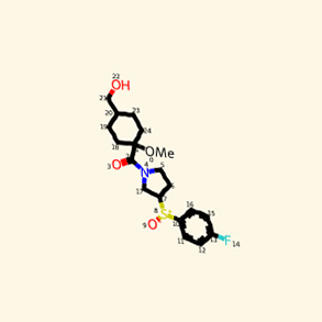 COC1(C(=O)N2CCC([S+]([O-])c3ccc(F)cc3)C2)CCC(CO)CC1